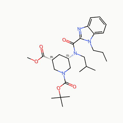 CCCn1c(C(=O)N(CC(C)C)[C@H]2C[C@@H](C(=O)OC)CN(C(=O)OC(C)(C)C)C2)nc2ccccc21